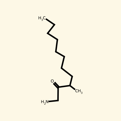 CCCCCCCCC(C)C(=O)CN